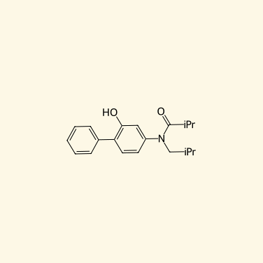 CC(C)CN(C(=O)C(C)C)c1ccc(-c2ccccc2)c(O)c1